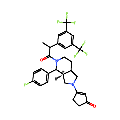 CC(C(=O)N1CCC2CN(C3=CC(=O)CC3)C[C@H]2C1c1ccc(F)cc1)c1cc(C(F)(F)F)cc(C(F)(F)F)c1